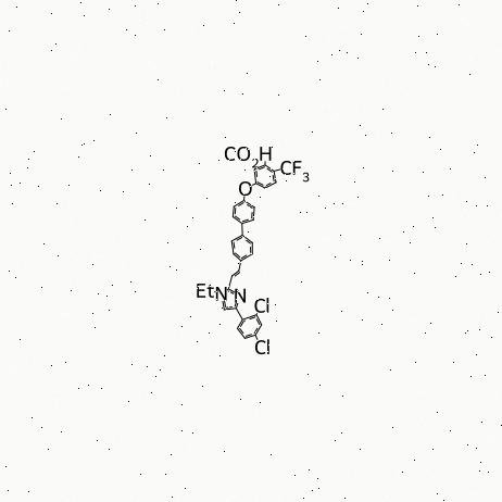 CCn1cc(-c2ccc(Cl)cc2Cl)nc1C=Cc1ccc(-c2ccc(Oc3ccc(C(F)(F)F)c(C(=O)O)c3)cc2)cc1